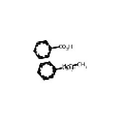 CC.O=C(O)c1ccccc1.O=C(O)c1ccccc1